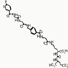 O=C(O)CC[C@H](NC(=O)NC(CCCCNC(=O)CNC(=O)c1ccc(CNC(=O)CNC(=O)CNC(=O)c2ccc(F)nc2)cc1)C(=O)O)C(=O)O